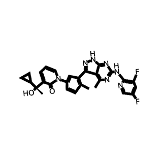 Cc1ccc(-n2cccc([C@](C)(O)C3CC3)c2=O)cc1-c1n[nH]c2nc(Nc3ncc(F)cc3F)nc(C)c12